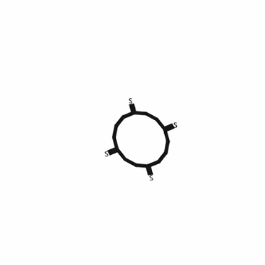 S=C1CCCC(=S)CCC(=S)CCCC(=S)CC1